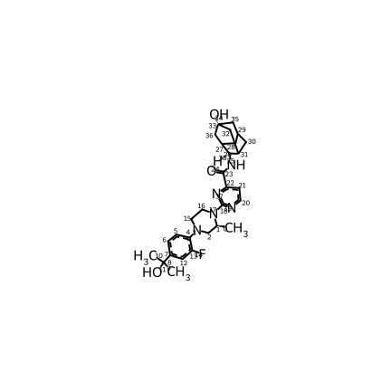 C[C@H]1CN(c2ccc(C(C)(C)O)cc2F)CCN1c1nccc(C(=O)N[C@H]2C3CC4CC2C[C@](O)(C4)C3)n1